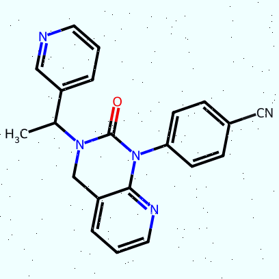 CC(c1cccnc1)N1Cc2cccnc2N(c2ccc(C#N)cc2)C1=O